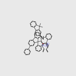 C=C/C=C\C1=C(N(c2ccc3c(c2)C(C)(C)c2ccccc2-3)c2ccccc2C(/C=C\C=C)=C/C)C2(c3ccccc31)c1ccccc1-c1ccc(-c3ccccc3)cc12